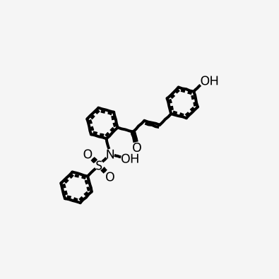 O=C(C=Cc1ccc(O)cc1)c1ccccc1N(O)S(=O)(=O)c1ccccc1